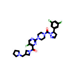 O=C(c1nc(N2CCN(C(=O)N3N=CCC3c3cc(F)cc(F)c3)CC2)ncc1F)N1CC(CN2CCCC2)C1